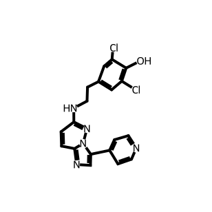 Oc1c(Cl)cc(CCNc2ccc3ncc(-c4ccncc4)n3n2)cc1Cl